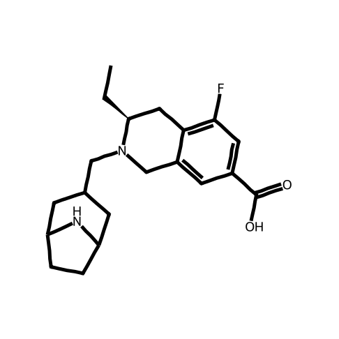 CC[C@H]1Cc2c(F)cc(C(=O)O)cc2CN1CC1CC2CCC(C1)N2